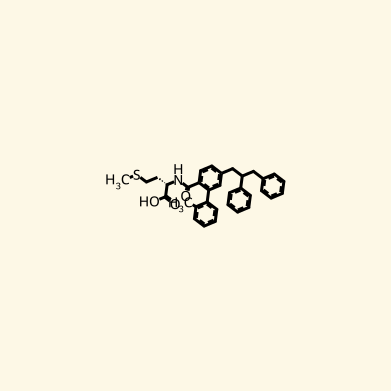 CSCC[C@H](NC(=O)c1ccc(CC(Cc2ccccc2)c2ccccc2)cc1-c1ccccc1C)C(=O)O